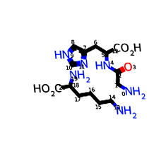 NCC(=O)NC(Cc1c[nH]cn1)C(=O)O.NCCCCC(N)C(=O)O